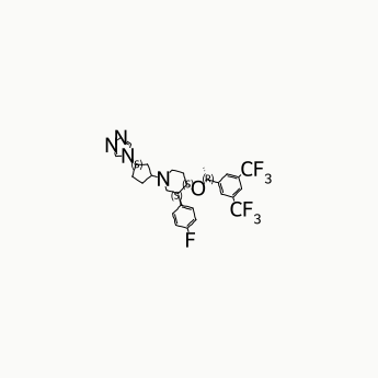 C[C@@H](O[C@H]1CCN(C2CC[C@H](n3cnnc3)C2)C[C@@H]1c1ccc(F)cc1)c1cc(C(F)(F)F)cc(C(F)(F)F)c1